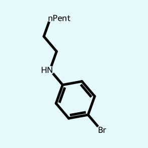 CCCCCCCNc1ccc(Br)cc1